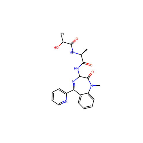 CC(C)C(O)C(=O)N[C@@H](C)C(=O)NC1N=C(c2ccccn2)c2ccccc2N(C)C1=O